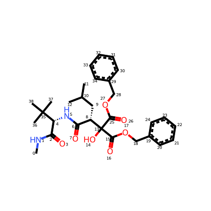 CNC(=O)[C@@H](NC(=O)[C@H](CC(C)C)C(O)(C(=O)OCc1ccccc1)C(=O)OCc1ccccc1)C(C)(C)C